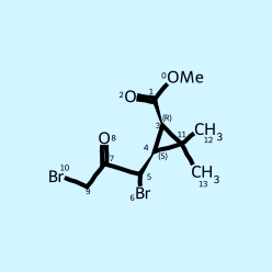 COC(=O)[C@@H]1[C@H](C(Br)C(=O)CBr)C1(C)C